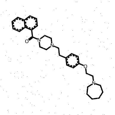 O=C(c1cccc2ccccc12)N1CCN(CCc2ccc(OCCN3CCCCCC3)cc2)CC1